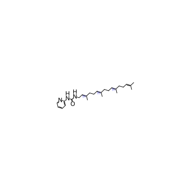 CC(C)=CCC/C(C)=C/CC/C(C)=C/CC/C(C)=C/CNC(=O)Nc1ccccn1